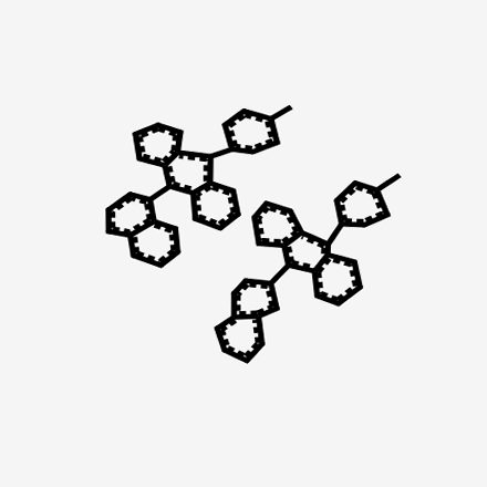 Cc1ccc(-c2c3ccccc3c(-c3ccc4ccccc4c3)c3ccccc23)cc1.Cc1ccc(-c2c3ccccc3c(-c3cccc4ccccc34)c3ccccc23)cc1